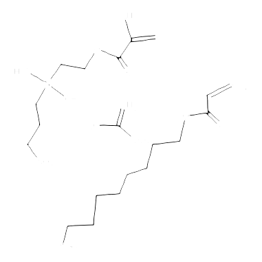 C=C(C)C(=O)OCC[N+](C)(C)CCCS(=O)(=O)O.C=C(C)C(=O)[O-].C=CC(=O)OCCCCCCCCCCCCCCCCCC